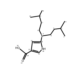 CC(C)CCN(CCC(C)C)c1cc(C(=O)O)c[nH]1